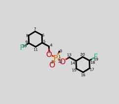 CP(=O)(OCC1CCCC(F)C1)OCC1CCCC(F)C1